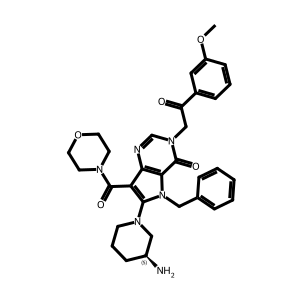 COc1cccc(C(=O)Cn2cnc3c(C(=O)N4CCOCC4)c(N4CCC[C@H](N)C4)n(Cc4ccccc4)c3c2=O)c1